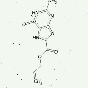 C=CCOC(=O)c1nc2nc(N)[nH]c(=O)c2[nH]1